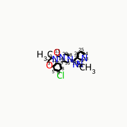 CC1COc2cc(Cl)ccc2N1C(=O)N1CCN(c2nn(C)c3ncccc23)CC1